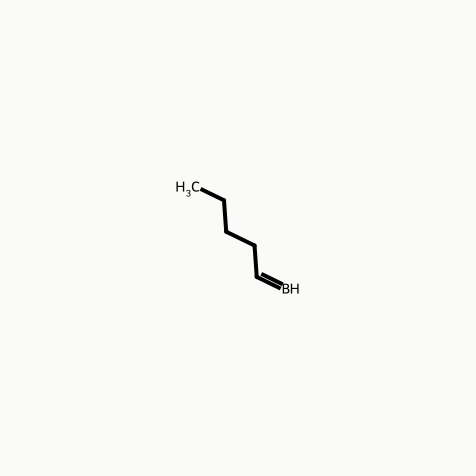 B=CCCCC